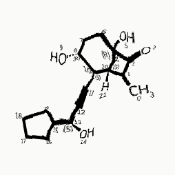 CC1C(=O)[C@@]2(O)CC[C@@H](O)[C@H](C#C[C@@H](O)C3CCCC3)[C@@H]12